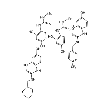 CC(C)(C)NC(=S)Nc1ccc(O)cc1O.CC(C)NC(=S)Nc1ccc(O)cc1O.Oc1ccc(NC(=S)NCC2CCCCC2)c(O)c1.Oc1ccc(NC(=S)NCc2ccc(C(F)(F)F)cc2)c(O)c1